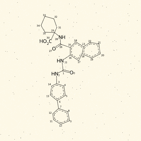 O=C(Nc1ccc(-c2ccccc2)cc1)Nc1cc2ccccc2cc1C(=O)NC1(C(=O)O)CCCCC1